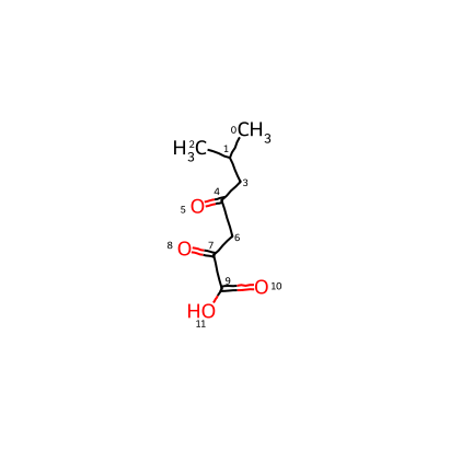 CC(C)CC(=O)CC(=O)C(=O)O